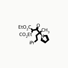 CCOC(=O)C(C(=O)OCC)C(=O)C(C)(CCC(C)C)n1cccc1